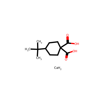 CC(C)(C)C1CCC(C(=O)O)(C(=O)O)CC1.[CaH2]